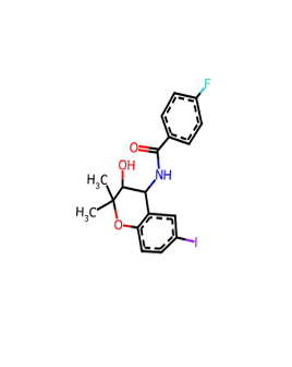 CC1(C)Oc2ccc(I)cc2C(NC(=O)c2ccc(F)cc2)C1O